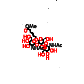 COC(=O)CCCCCO[C@@H]1O[C@H](CO)[C@H](O[C@@H]2O[C@H](CO)[C@@H](O)[C@H](O)[C@H]2NC(C)=O)[C@H](O)[C@H]1O[C@@H]1O[C@H](CO)[C@@H](O)[C@H](O)[C@H]1NC(C)=O